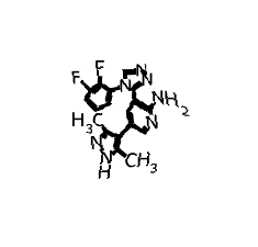 Cc1n[nH]c(C)c1-c1cnc(N)c(-c2nncn2-c2cccc(F)c2F)c1